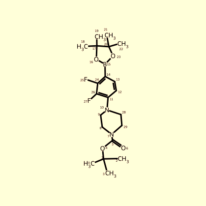 CC(C)(C)OC(=O)N1CCN(c2ccc(B3OC(C)(C)C(C)(C)O3)c(F)c2F)CC1